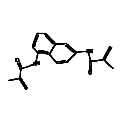 C=C(C)C(=O)Nc1ccc2c(NC(=O)C(=C)C)cccc2c1